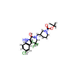 CC(C)(C)OC(=O)N1CCCC(CN(CC(F)(F)F)C(=O)c2cc3cc(Cl)ccc3[nH]2)C1